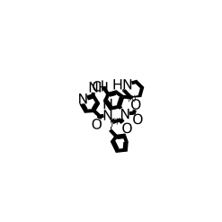 CNc1cc(C(=O)N[C@@H](Cc2ccccc2)C(=O)N2C(=O)O[C@]3(CCCNC3)c3cc(Cl)ccc32)ccn1